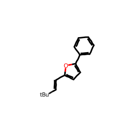 CC(C)(C)/C=C/c1ccc(-c2ccccc2)o1